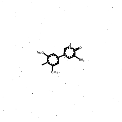 Bc1cc(-c2cc(OC)c(C)c(OC)c2)c[nH]c1=O